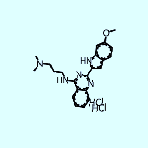 COc1ccc2cc(-c3nc(NCCCN(C)C)c4ccccc4n3)[nH]c2c1.Cl.Cl